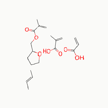 C=C(C)C(=O)O.C=C(C)C(=O)OCC1CCCO1.C=CC(=O)O.CC=CC